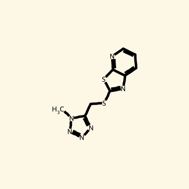 Cn1nnnc1CSc1nc2cccnc2s1